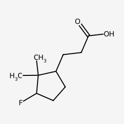 CC1(C)C(F)CCC1CCC(=O)O